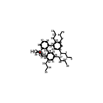 CCCCc1cc(CCC)c(CCC)c(-c2cccc(P(O)O)c2-c2cc(CCCC)cc(CCC)c2CCC)c1